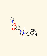 CC1(C)C(=O)N(c2ccc(C#N)c(C(F)(F)F)c2)C(=S)N1c1ccc2c(c1)OC[C@H](CN1CCCC1)O2